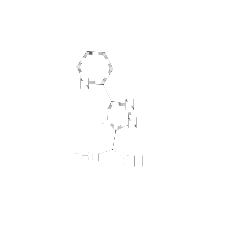 CC(c1nnc(-c2ccccn2)o1)C(C)(C)C